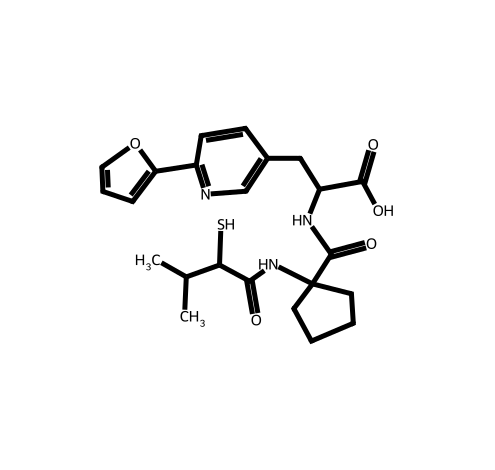 CC(C)C(S)C(=O)NC1(C(=O)NC(Cc2ccc(-c3ccco3)nc2)C(=O)O)CCCC1